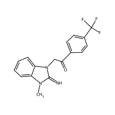 Cn1c(=N)n(CC(=O)c2ccc(C(F)(F)F)cc2)c2ccccc21